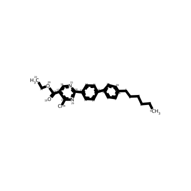 CCCCCCc1ccc(-c2ccc(-c3ncc(C(=O)OCC)c(Cl)n3)cc2)cc1